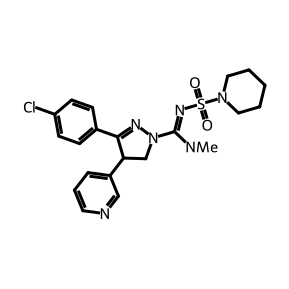 CN/C(=N\S(=O)(=O)N1CCCCC1)N1CC(c2cccnc2)C(c2ccc(Cl)cc2)=N1